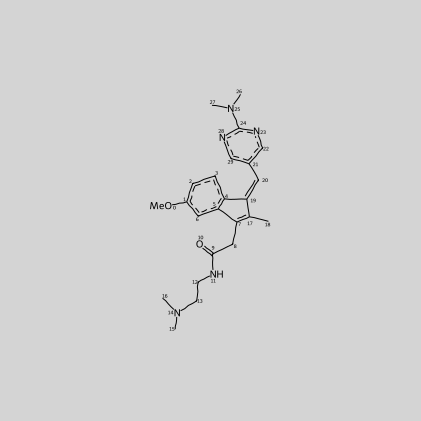 COc1ccc2c(c1)C(CC(=O)NCCN(C)C)=C(C)/C2=C/c1cnc(N(C)C)nc1